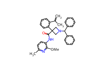 C=C(C)c1ccccc1C1(C(=O)Nc2ccc(C)nc2OC)CN(C(c2ccccc2)c2ccccc2)C1